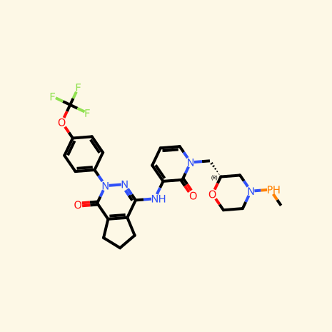 CPN1CCO[C@H](Cn2cccc(Nc3nn(-c4ccc(OC(F)(F)F)cc4)c(=O)c4c3CCC4)c2=O)C1